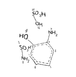 NS(=O)(=O)O.Nc1ccccc1O.O=S(=O)(O)O